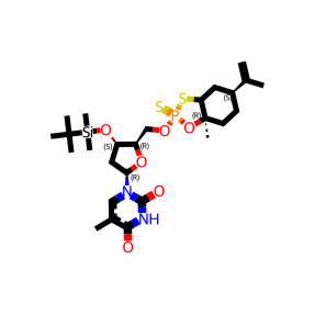 C=C(C)[C@H]1CC[C@@]2(C)OP(=S)(OC[C@H]3O[C@@H](n4cc(C)c(=O)[nH]c4=O)C[C@@H]3O[Si](C)(C)C(C)(C)C)SC2C1